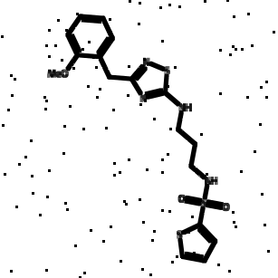 COc1ccccc1Cc1nsc(NCCCNS(=O)(=O)c2cccs2)n1